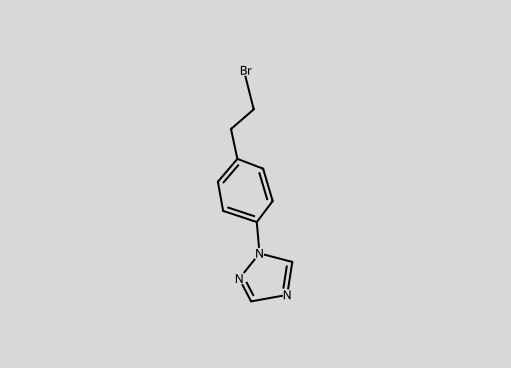 BrCCc1ccc(-n2cncn2)cc1